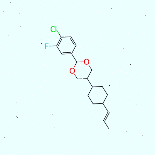 C/C=C/C1CCC(C2COC(c3ccc(Cl)c(F)c3)OC2)CC1